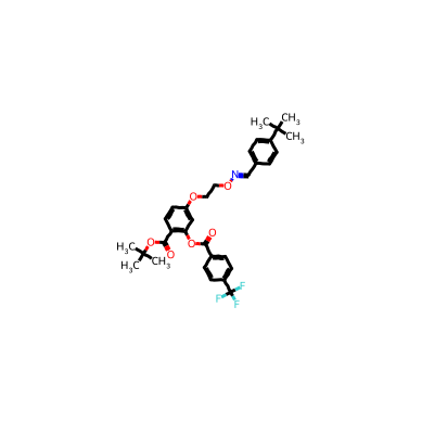 CC(C)(C)OC(=O)c1ccc(OCCON=Cc2ccc(C(C)(C)C)cc2)cc1OC(=O)c1ccc(C(F)(F)F)cc1